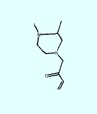 C=CC(=O)CN1CCN(I)C(C)C1